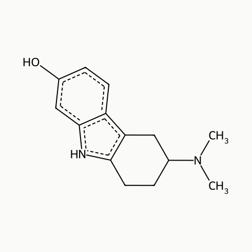 CN(C)C1CCc2[nH]c3cc(O)ccc3c2C1